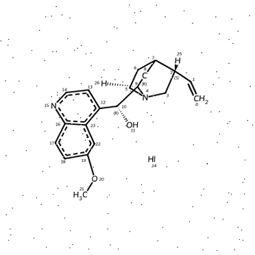 C=C[C@@H]1CN2CCC1C[C@@H]2[C@H](O)c1ccnc2ccc(OC)cc12.I